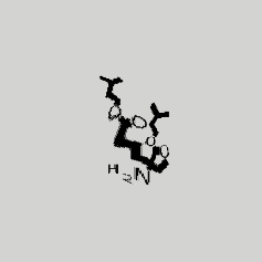 C=CC(N)(CCCC(=O)OCCC(C)C)C(=O)OCCC(C)C